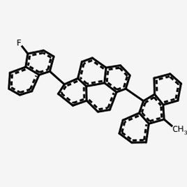 Cc1c2ccccc2c(-c2ccc3ccc4c(-c5ccc(F)c6ccccc56)ccc5ccc2c3c54)c2ccccc12